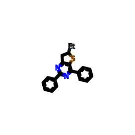 CCC1Cc2nc(-c3ccccc3)nc(-c3ccccc3)c2S1